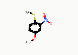 COc1ccc(SC)c([N+](=O)[O-])c1